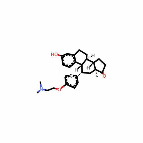 CN(C)CCOc1ccc([C@H]2C[C@]3(C)C(=O)CC[C@H]3[C@@H]3CCc4cc(O)ccc4[C@H]32)cc1